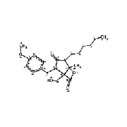 CCCCCCC1C(=O)N(Cc2ccc(OC)cc2)C2(CO)C(=O)OC12C